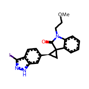 COCCN1C(=O)C2(C[C@H]2c2ccc3c(I)n[nH]c3c2)c2ccccc21